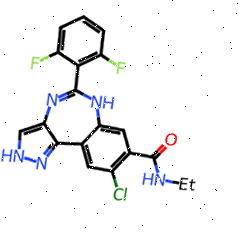 CCNC(=O)c1cc2c(cc1Cl)-c1n[nH]cc1N=C(c1c(F)cccc1F)N2